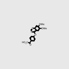 COc1cc2ncnc(Oc3ccc(C(=O)C(=O)O)cc3)c2cc1OC